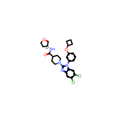 O=C(N[C@@H]1CCOC1)C1CCN(c2nc3cc(Cl)c(Cl)cc3n2-c2cccc(OC3CCC3)c2)CC1